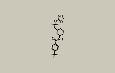 CC(C)(CC1CCCC(NC(=O)c2ccc(C(C)(C)C)cc2)C1)OC(N)=O